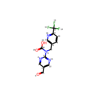 O=Cc1cnc(N(Cc2ccc(C(F)(F)F)nc2)C(=O)O)nc1